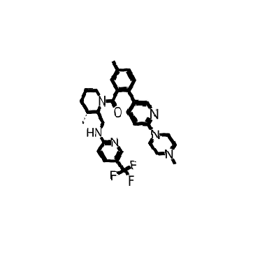 Cc1ccc(-c2ccc(N3CCN(C)CC3)nc2)c(C(=O)N2CCC[C@@H](C)C2CNc2ccc(C(F)(F)F)cn2)c1